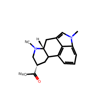 COC(=O)[C@H]1CC2c3cccc4c3c(cn4C)C[C@H]2N(C#N)C1